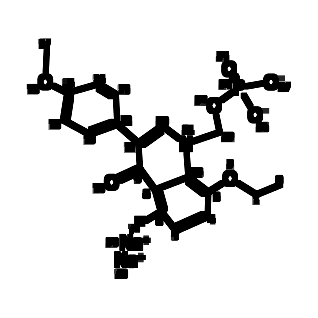 CCOc1ccc(F)c2c(=O)c(-c3ccc(OC)cc3)cn(COP(=O)([O-])[O-])c12.[Na+].[Na+]